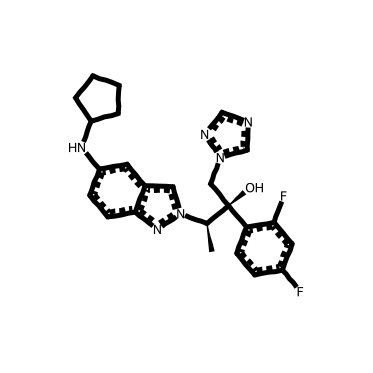 C[C@@H](n1cc2cc(NC3CCCC3)ccc2n1)[C@](O)(Cn1cncn1)c1ccc(F)cc1F